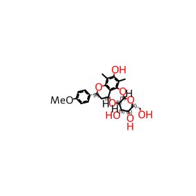 COc1ccc([C@H]2C[C@@H]3O[C@H]4[C@H](Oc5c(C)c(O)c(C)c(c53)O2)O[C@H](CO)[C@@H](O)[C@@H]4O)cc1